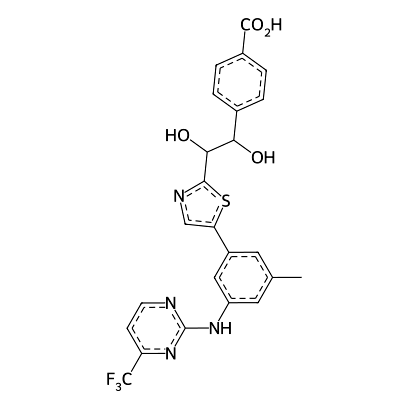 Cc1cc(Nc2nccc(C(F)(F)F)n2)cc(-c2cnc(C(O)C(O)c3ccc(C(=O)O)cc3)s2)c1